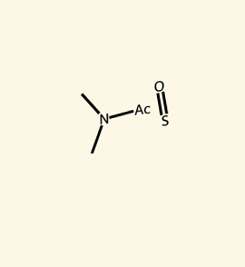 CC(=O)N(C)C.O=S